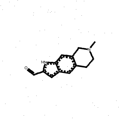 CN1CCc2cc3cc(C=O)[nH]c3cc2C1